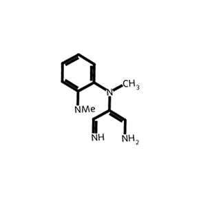 CNc1ccccc1N(C)/C(C=N)=C/N